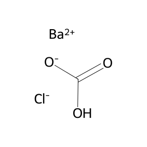 O=C([O-])O.[Ba+2].[Cl-]